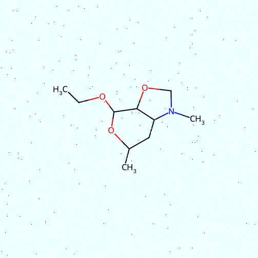 CCOC1OC(C)CC2C1OCN2C